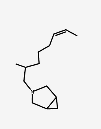 C/C=C\CCCC(C)CN1CC2CC2C1